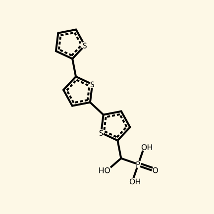 O=P(O)(O)C(O)c1ccc(-c2ccc(-c3cccs3)s2)s1